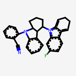 N#Cc1ccccc1N1c2ccccc2C2C1CCCC2n1c2c(c3ccc(F)cc31)=CCCC=2